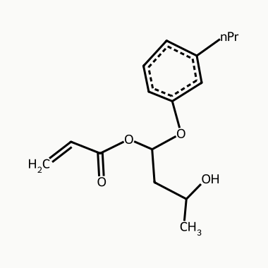 C=CC(=O)OC(CC(C)O)Oc1cccc(CCC)c1